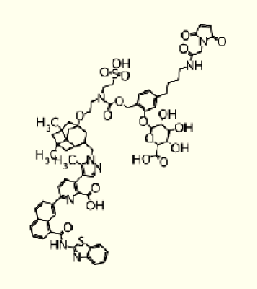 Cc1c(-c2ccc(-c3ccc4cccc(C(=O)Nc5nc6ccccc6s5)c4c3)nc2C(=O)O)cnn1CC12CC3(OCCN(CCS(=O)(=O)O)C(=O)OCc4ccc(CCCCNC(=O)CN5C(=O)C=CC5=O)cc4O[C@@H]4O[C@H](C(=O)O)[C@@H](O)[C@H](O)[C@H]4O)CC4(C)CC(C)(C1)C4(C2)C3